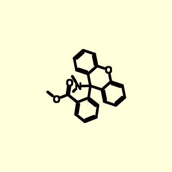 COC(=O)c1ccccc1C1(N(C)C)c2ccccc2Oc2ccccc21